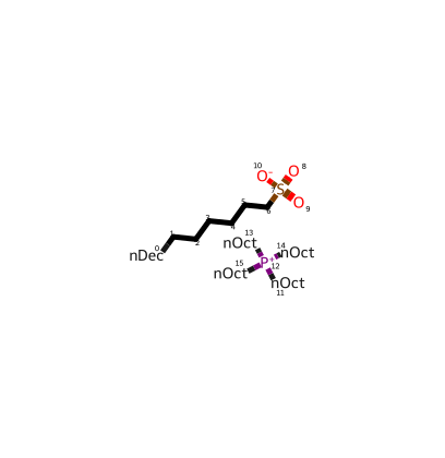 CCCCCCCCCCCCCCCCS(=O)(=O)[O-].CCCCCCCC[P+](CCCCCCCC)(CCCCCCCC)CCCCCCCC